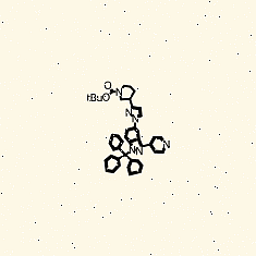 CC(C)(C)OC(=O)N1CCCC(c2ccn(-c3ccc4c(c3)c(-c3ccncc3)nn4C(c3ccccc3)(c3ccccc3)c3ccccc3)n2)C1